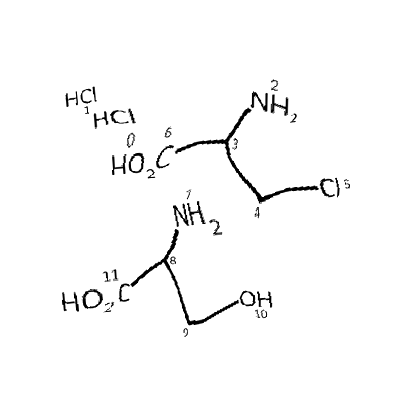 Cl.Cl.NC(CCl)C(=O)O.NC(CO)C(=O)O